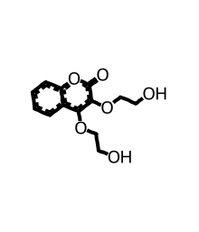 O=c1oc2ccccc2c(OCCO)c1OCCO